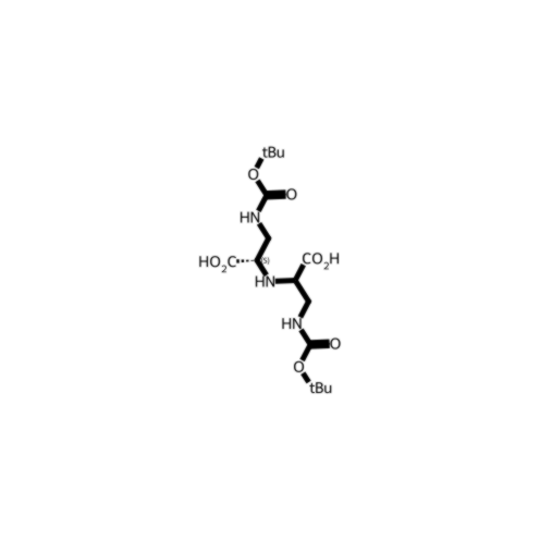 CC(C)(C)OC(=O)NCC(N[C@@H](CNC(=O)OC(C)(C)C)C(=O)O)C(=O)O